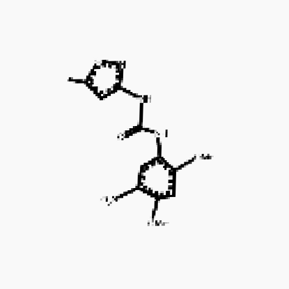 COc1cc(OC)c([N+](=O)[O-])cc1NC(=O)Nc1cc(C)on1